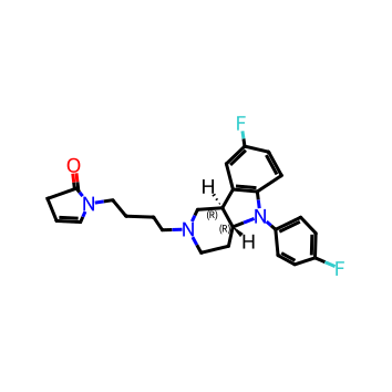 O=C1CC=CN1CCCCN1CC[C@@H]2[C@@H](C1)c1cc(F)ccc1N2c1ccc(F)cc1